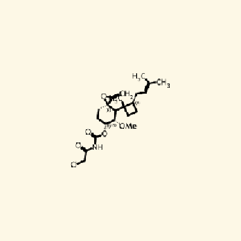 C=C1O[C@@]12CC[C@@H](OC(=O)NC(=O)CCl)[C@@H](OC)C2C1(C)CC[C@@H]1CC=C(C)C